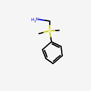 CS(C)(CN)c1ccccc1